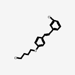 ClCCCCOc1ccc(/C=C/c2cccc(Cl)c2)cc1